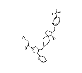 O=C(CC1CC1)N1CC(CN2CCC3(CC2)CCN(Cc2ccc(C(F)(F)F)cc2)C3=O)C(c2ccccc2)C1